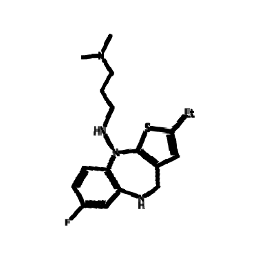 CCc1cc2c(s1)N(NCCCN(C)C)c1ccc(F)cc1NC2